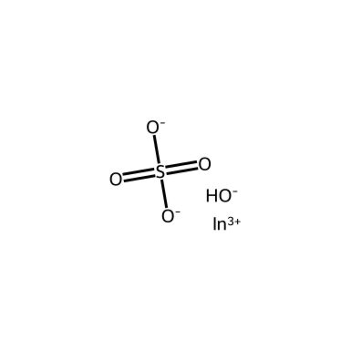 O=S(=O)([O-])[O-].[In+3].[OH-]